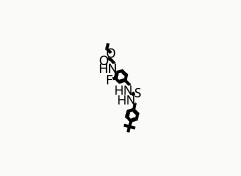 CCOC(=O)CNc1ccc(CNC(=S)NCc2ccc(C(C)(C)C)cc2)cc1F